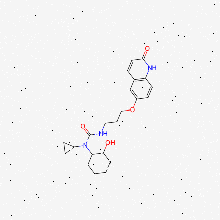 O=C(NCCCOc1ccc2[nH]c(=O)ccc2c1)N(C1CC1)C1CCCCC1O